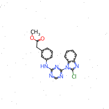 COC(=O)Cc1cccc(Nc2ncnc(-n3c(Cl)nc4ccccc43)n2)c1